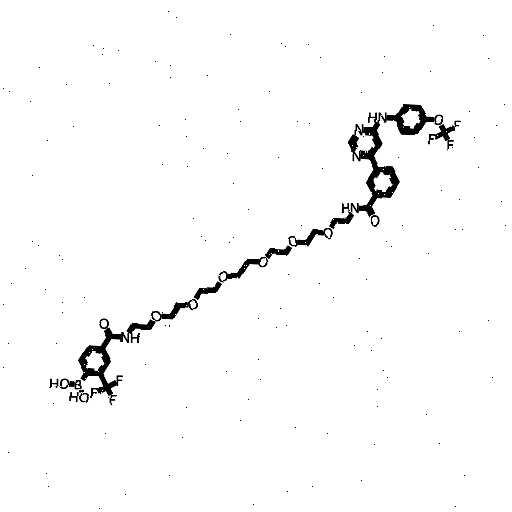 O=C(NCCOCCOCCOCCOCCOCCOCCNC(=O)c1ccc(B(O)O)c(C(F)(F)F)c1)c1cccc(-c2cc(Nc3ccc(OC(F)(F)F)cc3)ncn2)c1